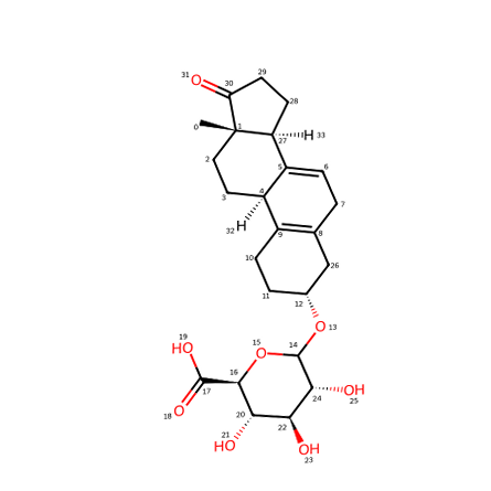 C[C@]12CC[C@H]3C(=CCC4=C3CC[C@@H](OC3O[C@H](C(=O)O)[C@@H](O)[C@H](O)[C@H]3O)C4)[C@@H]1CCC2=O